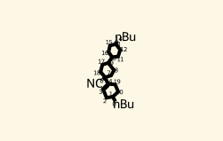 CCCCC1CC=C(C2(C#N)CCC(C3CCC(CCCC)CC3)CC2)CC1